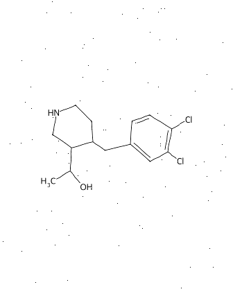 CC(O)C1CNCCC1Cc1ccc(Cl)c(Cl)c1